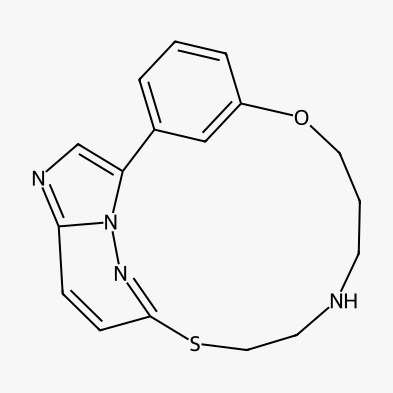 c1cc2cc(c1)-c1cnc3ccc(nn13)SCCNCCCO2